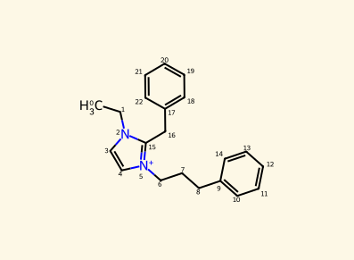 CCn1cc[n+](CCCc2ccccc2)c1Cc1ccccc1